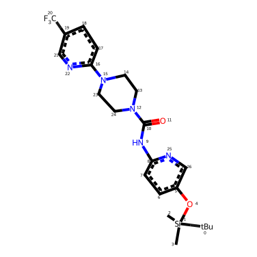 CC(C)(C)[Si](C)(C)Oc1ccc(NC(=O)N2CCN(c3ccc(C(F)(F)F)cn3)CC2)nc1